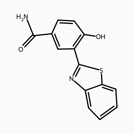 NC(=O)c1ccc(O)c(-c2nc3ccccc3s2)c1